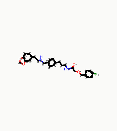 O=C(COCc1ccc(F)cc1)NCCCc1ccc(CNCCc2ccc3c(c2)OCO3)cc1